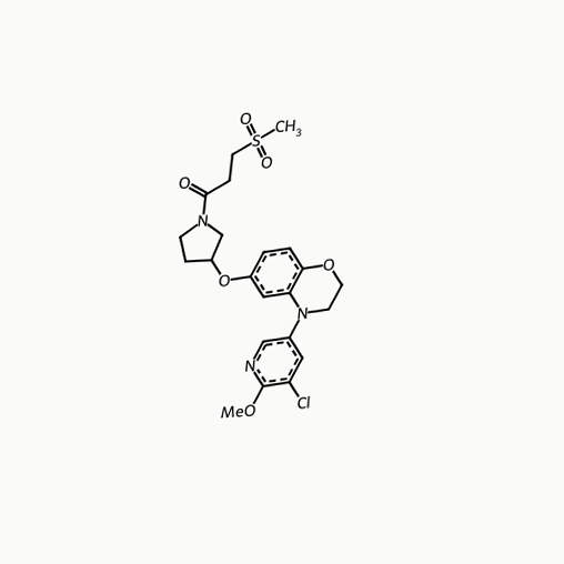 COc1ncc(N2CCOc3ccc(OC4CCN(C(=O)CCS(C)(=O)=O)C4)cc32)cc1Cl